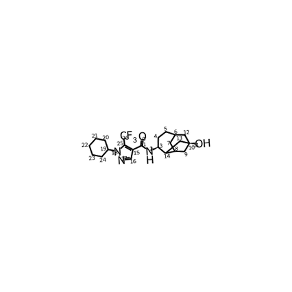 O=C(N[C@H]1CCC2CC3C[C@@](O)(C2)CC31)c1cnn(C2CCCCC2)c1C(F)(F)F